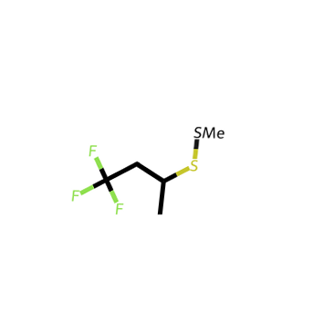 CSSC(C)CC(F)(F)F